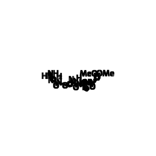 COc1ccc(CNC(=O)C(=N)[C@@H]2CCCN2C(=O)CNC(=O)c2ccnc3cc(OCCNC(=O)c4ccc(NN)nc4)ccc23)cc1OC